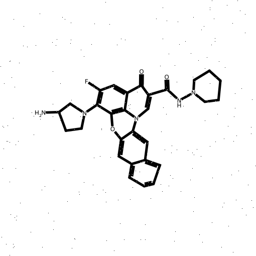 NC1CCN(c2c(F)cc3c(=O)c(C(=O)NN4CCCCC4)cn4c3c2Oc2cc3ccccc3cc2-4)C1